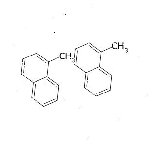 Cc1cccc2ccccc12.Cc1cccc2ccccc12